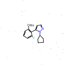 COc1cccc(F)c1-c1ccnn1C1CCCC1